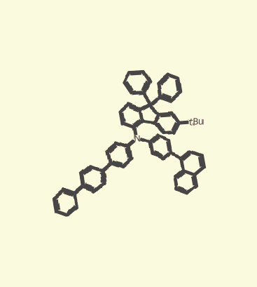 CC(C)(C)c1ccc2c(c1)C(c1ccccc1)(c1ccccc1)c1cccc(N(c3ccc(-c4ccc(-c5ccccc5)cc4)cc3)c3ccc(-c4cccc5ccccc45)cc3)c1-2